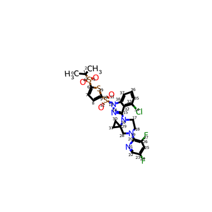 CC(C)S(=O)(=O)c1ccc(S(=O)(=O)n2nc(N3CCN(c4ncc(F)cc4F)CC34CC4)c3c(Cl)cccc32)s1